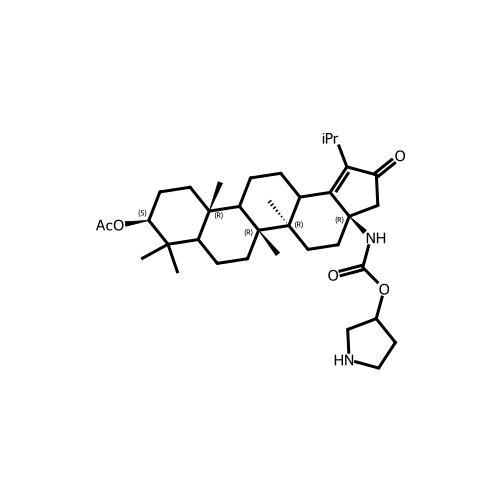 CC(=O)O[C@H]1CC[C@@]2(C)C(CC[C@]3(C)C2CCC2C4=C(C(C)C)C(=O)C[C@]4(NC(=O)OC4CCNC4)CC[C@]23C)C1(C)C